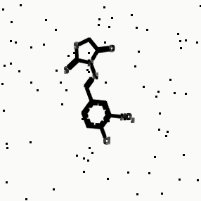 O=C1CSC(=S)N1N=Cc1ccc(Cl)c([N+](=O)[O-])c1